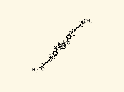 C=CC(=O)OCCCCOC(=O)Oc1ccc(C(=O)O[C@H]2CO[C@@H]3[C@H]2OC[C@H]3OC(=O)c2ccc(OC(=O)OCCCCOC(=O)C=C)cc2)cc1